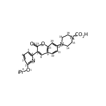 CC(C)Oc1cccc(-c2cc3ccc(N4CCN(C(=O)O)CC4)cc3oc2=O)n1